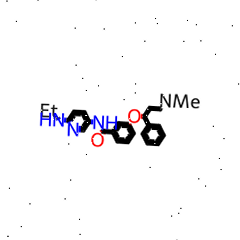 CCNc1ccc(NC(=O)c2cccc(OC(CCNC)c3ccccc3)c2)cn1